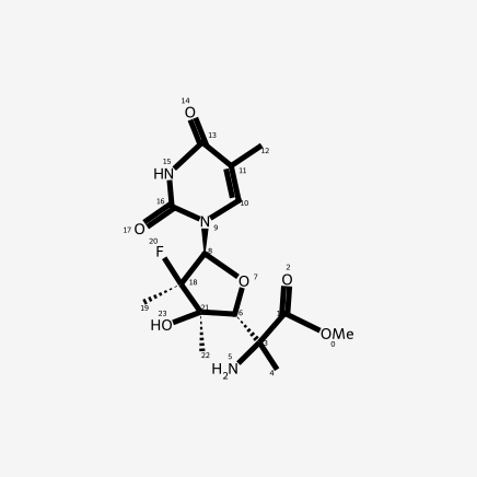 COC(=O)C(C)(N)[C@H]1O[C@H](n2cc(C)c(=O)[nH]c2=O)[C@](C)(F)[C@]1(C)O